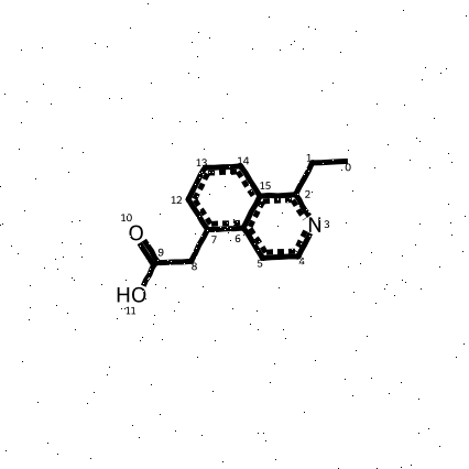 CCc1nccc2c(CC(=O)O)cccc12